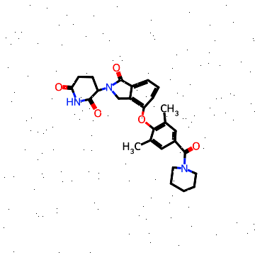 Cc1cc(C(=O)N2CCCCC2)cc(C)c1Oc1cccc2c1CN(C1CCC(=O)NC1=O)C2=O